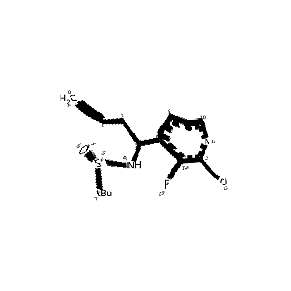 C=CCC(N[S+]([O-])C(C)(C)C)c1ccnc(Cl)c1F